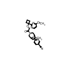 COc1ccnc(C2(OCC(=O)N3CC4C[C@H](C)C(C3)N4c3ccc(C#N)cn3)CCC2)n1